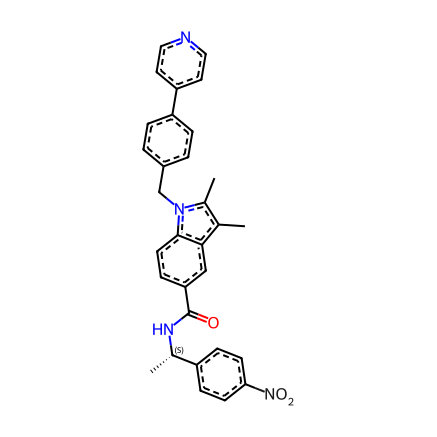 Cc1c(C)n(Cc2ccc(-c3ccncc3)cc2)c2ccc(C(=O)N[C@@H](C)c3ccc([N+](=O)[O-])cc3)cc12